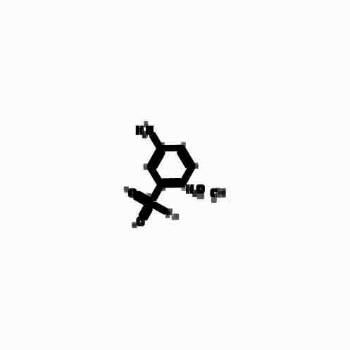 Cl.Nc1cccc(S(=O)(=O)F)c1.O